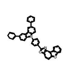 C1=CC(c2ccc3c(c2)c2cc(-c4ccccc4)ccc2n3-c2ccc(-c3nc4c(ccc5oc6ccccc6c54)o3)cc2)=CCC1